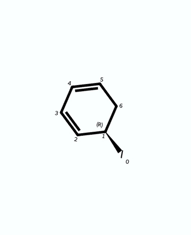 I[C@H]1C=CC=CC1